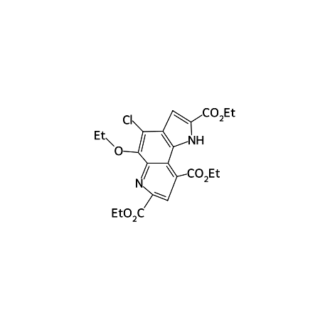 CCOC(=O)c1cc(C(=O)OCC)c2c(n1)c(OCC)c(Cl)c1cc(C(=O)OCC)[nH]c12